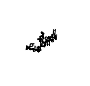 C=CC1CN(c2nc(-n3ccc(OCCC4(C(F)(F)F)CC4)n3)ccc2C(=O)NS(=O)(=O)c2c[nH]nc2C)C(C)(C)C1